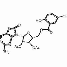 CC(=O)O[C@@H]1[C@H](OC(C)=O)[C@@H](COC(=O)c2cc(O)ccc2O)O[C@H]1n1c(=O)sc2cnc(N)nc21